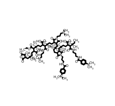 CCOC(=O)C(C(CCC(C)(C)CC1C(=O)OC(=O)C1C)C(=O)O)C(C)(C)CCC(C(=O)O)C(C(=O)NCCCN(C)C)C(C)(C)CCC1C(=O)N(CCCN(C)C)C(=O)C1CC(C)(C)CCC1C(=O)N(CCCNC(=O)c2ccc(N(C)C)cc2)C(=O)C1CC(C)(C)CCC(C(=O)O)C(C(=O)NCCCNC(=O)c1ccc(N(C)C)cc1)C(C)(C)CC